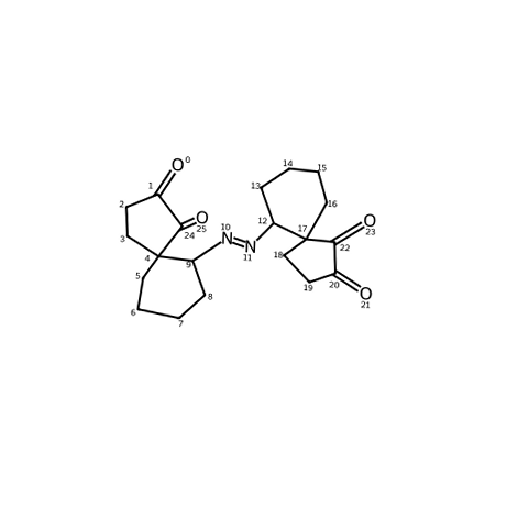 O=C1CCC2(CCCCC2N=NC2CCCCC23CCC(=O)C3=O)C1=O